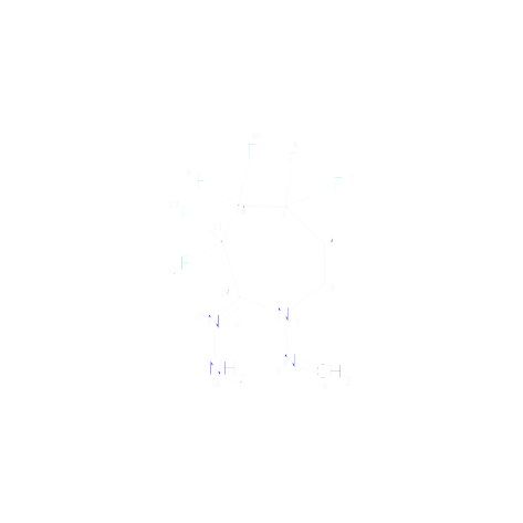 C=NN1CCC(F)(F)C(F)(F)C(F)(F)/C1=N/N